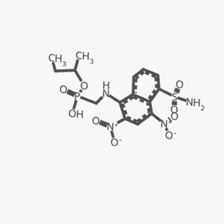 CCC(C)OP(=O)(O)CNc1c([N+](=O)[O-])cc([N+](=O)[O-])c2c(S(N)(=O)=O)cccc12